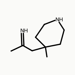 CC(=N)CC1(C)CCNCC1